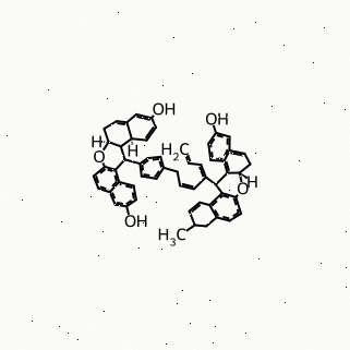 C=C/C=C(\C=C/Cc1ccc(C2c3c(ccc4cc(O)ccc34)O[C@H]3CC=C4C=C(O)C=C[C@H]4C23)cc1)C1C2=c3ccc(O)cc3=CC[C@@H]2Oc2ccc3c(c21)C=CC(C)C3